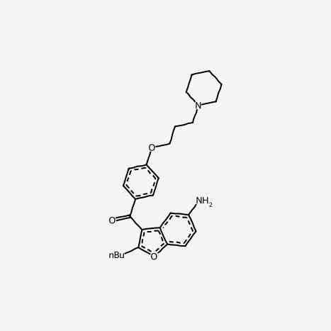 CCCCc1oc2ccc(N)cc2c1C(=O)c1ccc(OCCCN2CCCCC2)cc1